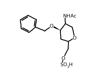 CC(=O)NC1COC(COS(=O)(=O)O)C[C@H]1OCc1ccccc1